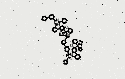 c1ccc(-c2cccc(-c3nc(-c4ccccc4)nc(-c4ccccc4-c4ccc5c(c4)C4(c6ccccc6O5)c5ccccc5-c5c(-c6cccc(-c7ccc(-c8nc(-c9ccccc9)nc(-c9ccccc9-c9ccc%10c(c9)C9(c%11ccccc%11O%10)c%10ccccc%10-c%10ccccc%109)n8)cc7)c6)cccc54)n3)c2)cc1